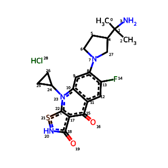 CC(C)(N)C1CCN(c2cc3c(cc2F)c(=O)c2c(=O)[nH]sc2n3C2CC2)C1.Cl